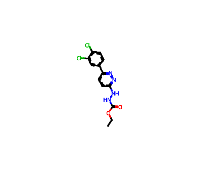 CCOC(=O)NNc1ccc(-c2ccc(Cl)c(Cl)c2)nn1